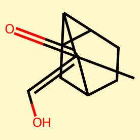 O=C1/C(=C/O)C2CCC3C(C2)C13